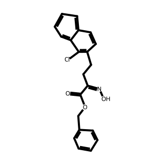 O=C(OCc1ccccc1)C(CCc1ccc2ccccc2c1Cl)=NO